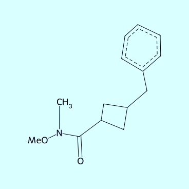 CON(C)C(=O)C1CC(Cc2ccccc2)C1